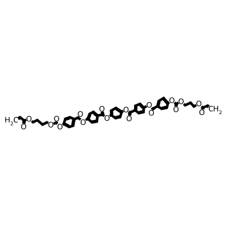 C=CC(=O)OCCCCOC(=O)Oc1ccc(C(=O)Oc2ccc(C(=O)Oc3ccc(OC(=O)c4ccc(OC(=O)c5ccc(OC(=O)OCCCOC(=O)C=C)cc5)cc4)cc3)cc2)cc1